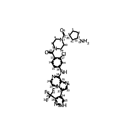 N[C@H]1CC[C@@H](C(=O)N2CCN(C(=O)c3ccc(Nc4nccn5c(-c6c[nH]nc6C(F)(F)F)cnc45)cc3Cl)CC2)C1